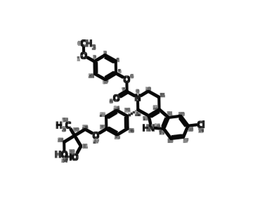 COc1ccc(OC(=O)N2CCc3c([nH]c4ccc(Cl)cc34)[C@@H]2c2ccc(OCC(C)(CO)CO)cc2)cc1